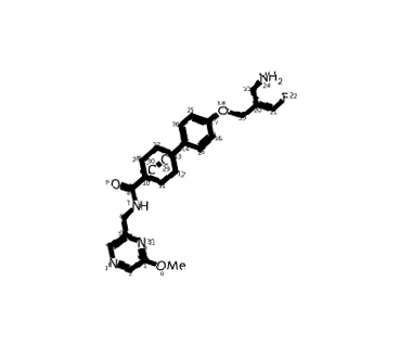 COc1cncc(CNC(=O)C23CCC(c4ccc(OC/C(=C/F)CN)cc4)(CC2)CC3)n1